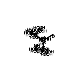 CC(=O)CCCCCNC(=O)CN(CC(=O)NCCO[C@@H]1O[C@H](CO[C@H]2O[C@H](CO)[C@@H](O)[C@H](O)[C@@H]2O)[C@@H](O)[C@H](O[C@H]2O[C@H](CO)[C@@H](O)[C@H](O)[C@@H]2O)[C@@H]1O)CC(=O)NCCO[C@@H]1O[C@H](CO[C@H]2O[C@H](CO)[C@@H](O)[C@H](O)[C@@H]2O)[C@@H](O)[C@H](O[C@H]2O[C@H](CO)[C@@H](O)[C@H](O)[C@@H]2O)[C@H]1O